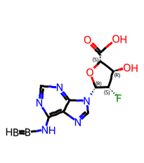 B=BNc1ncnc2c1ncn2[C@@H]1O[C@H](C(=O)O)[C@@H](O)[C@@H]1F